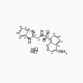 Cl.Cl.Nc1cccc2c(S(=O)(=O)NCc3nc4ccccc4[nH]3)cccc12